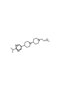 COCCN1CCC(N2CCC(c3cnc(C(C)C)nc3)CC2)CC1